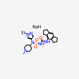 CCn1cc(N(C2CCN(C)CC2)S(=O)(=O)NC(=O)Nc2c3c(cc4c2CCC4)CCC3)cn1.[NaH]